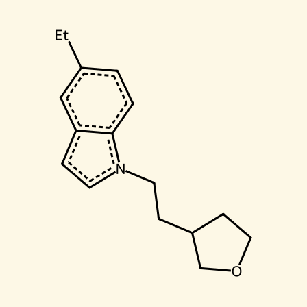 CCc1ccc2c(ccn2CCC2CCOC2)c1